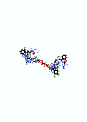 CN[C@@H](C)C(=O)N[C@H](C(=O)N1CCN(C(=O)c2c(C(=O)NCCOCCOCCN3CCN(c4cc(NC5SC(C(N)=O)=CN5c5c(C)cccc5Cl)nc(C)n4)CC3)c3cc(F)c(F)cc3n2C)CC1)C1CCCCC1